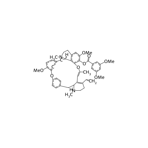 C=CC1=C2/C=C(\C)Oc3c(OC(=O)c4cc(OC)cc(OC)c4)c(OC)cc4c3[C@H](Cc3ccc(OC)c(c3)Oc3ccc(cc3)C[C@@H]2N(C)CC1)N(C)CC4